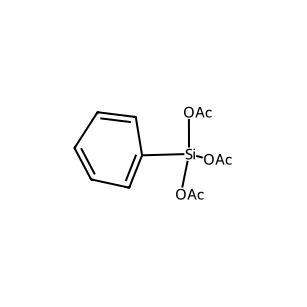 CC(=O)O[Si](OC(C)=O)(OC(C)=O)c1ccccc1